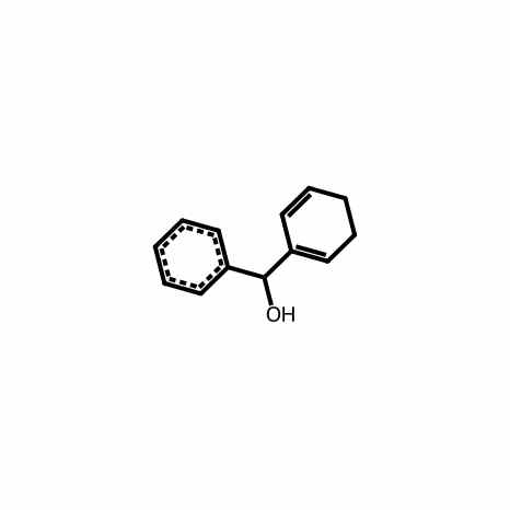 OC(C1=CCCC=C1)c1ccccc1